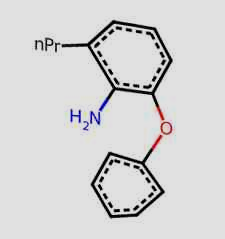 CCCc1cccc(Oc2ccccc2)c1N